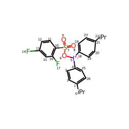 CC(C)c1ccc([I+](OS(=O)(=O)c2ccc(F)cc2F)c2ccc(C(C)C)cc2)cc1